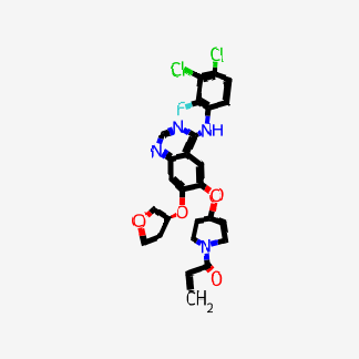 C=CC(=O)N1CCC(Oc2cc3c(Nc4ccc(Cl)c(Cl)c4F)ncnc3cc2O[C@H]2CCOC2)CC1